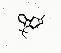 C/C=c1\c(=C/C2C(C)CC2C)c2ccccc2n1C(C)(C)CO